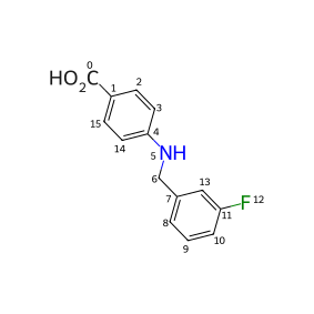 O=C(O)c1ccc(NCc2cccc(F)c2)cc1